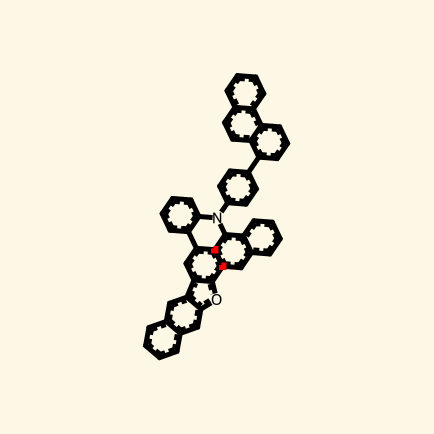 c1ccc(N(c2ccc(-c3cccc4c3ccc3ccccc34)cc2)c2cccc3ccccc23)c(-c2ccc3oc4cc5ccccc5cc4c3c2)c1